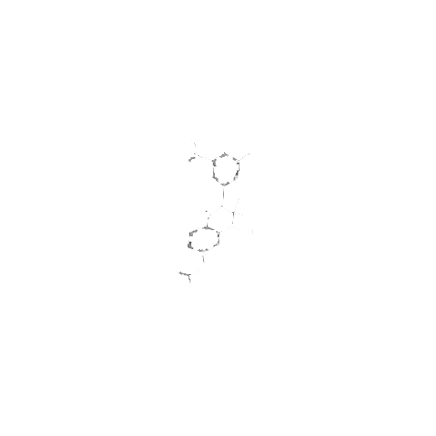 CC(=O)Oc1ccc2c(c1)C(O)C(C)(C)C(c1cc(Cl)cc([N+](=O)[O-])c1)N2